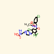 CCS(=O)(=O)c1ccc(Cl)cc1CNC(=O)c1cc(Cl)c(CN2CCN(CCNC(=O)O)CC2)c(C(F)(F)F)c1